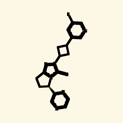 O=c1n(C2CC(c3cncc(F)c3)C2)nc2n1[C@H](c1cnccn1)CC2